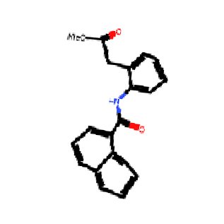 COC(=O)Cc1ccccc1NC(=O)c1cccc2ccccc12